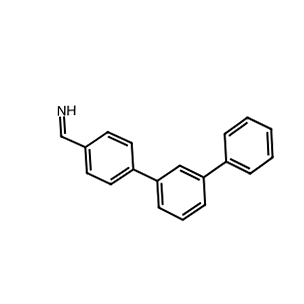 N=Cc1ccc(-c2cccc(-c3ccccc3)c2)cc1